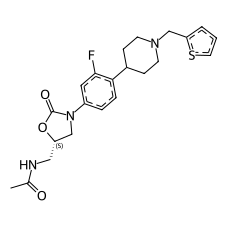 CC(=O)NC[C@H]1CN(c2ccc(C3CCN(Cc4cccs4)CC3)c(F)c2)C(=O)O1